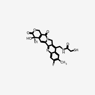 CC[C@@]1(O)C(=O)OCc2c1cc1n(c2=O)Cc2c-1nc1cc(F)c(C)cc1c2CNC(=O)CS